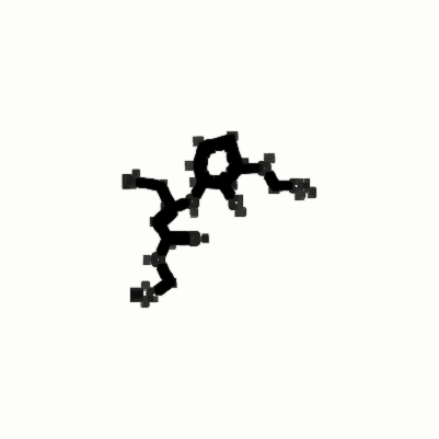 CCOC(=O)/C=C(/CBr)Oc1cccc(OCC)c1Cl